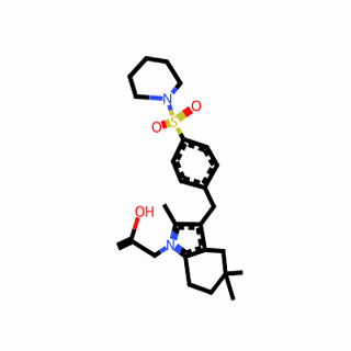 C=C(O)Cn1c(C)c(Cc2ccc(S(=O)(=O)N3CCCCC3)cc2)c2c1CCC(C)(C)C2